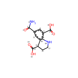 NC(=O)c1cc(C(=O)O)c2c(c1)C(C(=O)O)CCN2